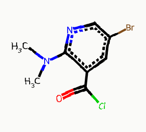 CN(C)c1ncc(Br)cc1C(=O)Cl